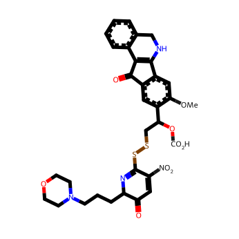 COc1cc2c(cc1C(CSSC1=NC(CCCN3CCOCC3)C(=O)C=C1[N+](=O)[O-])OC(=O)O)C(=O)C1=C2NCc2ccccc21